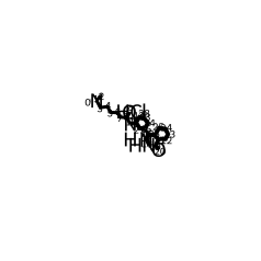 CN(C)CCCCCC(=O)Nc1cccc(-c2n[nH]c(=O)c3ccccc23)c1.Cl